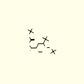 C[C@@H](NC(=O)OC(C)(C)C)[C@H](CO)CC(N[S@+]([O-])C(C)(C)C)C(F)(F)F